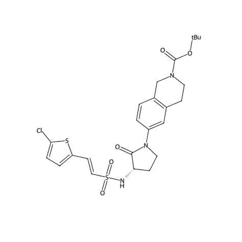 CC(C)(C)OC(=O)N1CCc2cc(N3CC[C@H](NS(=O)(=O)C=Cc4ccc(Cl)s4)C3=O)ccc2C1